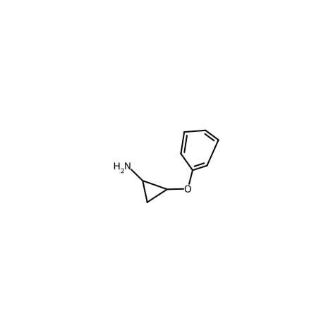 NC1CC1Oc1ccccc1